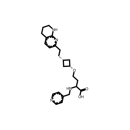 O=C(O)C(CCO[C@H]1C[C@@H](CCc2ccc3c(n2)NCCC3)C1)NCc1ccncc1